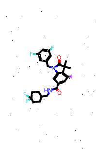 CC1(C)C(=O)N(Cc2cc(F)cc(F)c2)c2cc(C(=O)NCC3CCC(F)(F)CC3)cc(I)c21